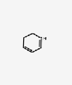 C1=CCC[SiH]=C1